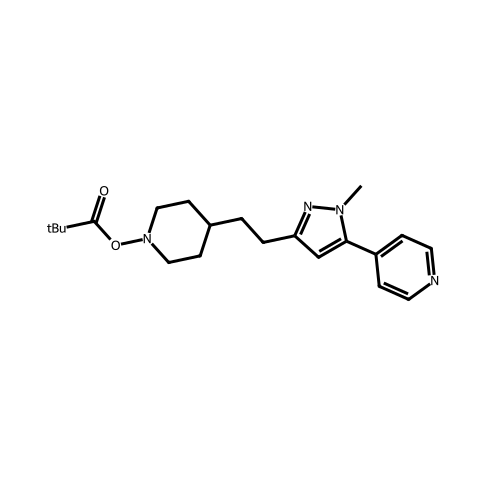 Cn1nc(CCC2CCN(OC(=O)C(C)(C)C)CC2)cc1-c1ccncc1